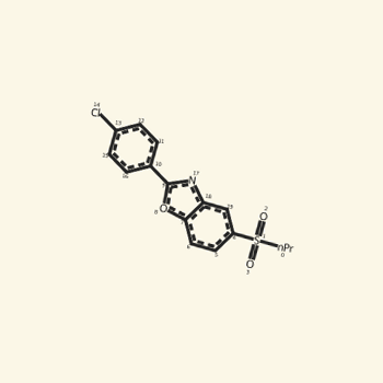 CCCS(=O)(=O)c1ccc2oc(-c3ccc(Cl)cc3)nc2c1